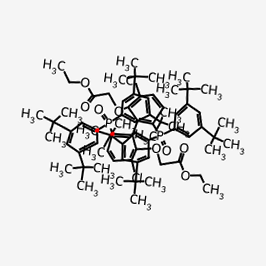 CCOC(=O)COc1c(Cl)ccc(P(=O)(c2cc(C(C)(C)C)cc(C(C)(C)C)c2)c2cc(C(C)(C)C)cc(C(C)(C)C)c2)c1-c1c(P(=O)(c2cc(C(C)(C)C)cc(C(C)(C)C)c2)c2cc(C(C)(C)C)cc(C(C)(C)C)c2)ccc(Cl)c1OCC(=O)OCC